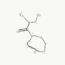 CCC(CO)C(=O)N1CCOCC1